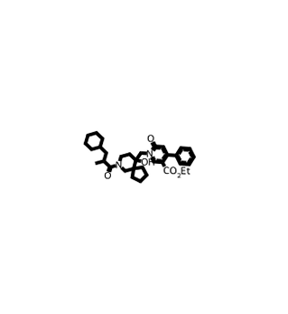 CCOC(=O)c1cn(CC2(O)CCN(C(=O)C(C)CC3CCCCC3)CC23CCCC3)c(=O)cc1-c1ccccc1